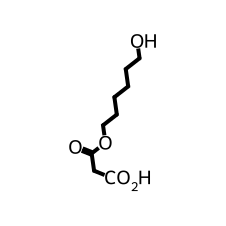 O=C(O)CC(=O)OCCCCCCO